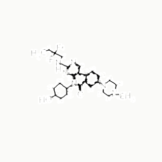 CCC(F)(F)CNc1ncc2c3ccc(N4CCN(C)CC4)cc3c(=O)n(C3CCC(O)CC3)c2n1